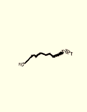 CCCCCCCC[CH]O